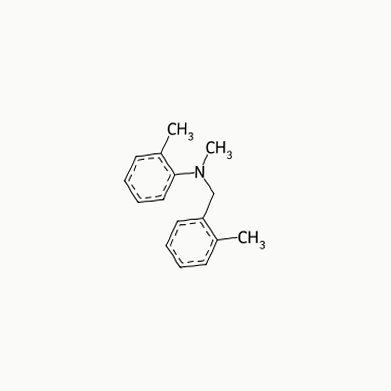 Cc1ccccc1CN(C)c1ccccc1C